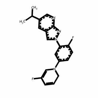 CC(C)c1cnc2nn(-c3cc(N4C=C(F)C=CC4)ccc3F)cc2c1